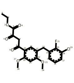 CCOC(=O)C(=O)CC(=O)c1cc(Cc2cccc(Cl)c2F)c(OC)cc1OC